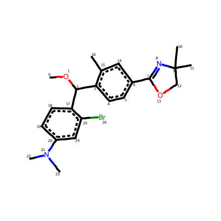 COC(c1ccc(C2=NC(C)(C)CO2)cc1C)c1ccc(N(C)C)cc1Br